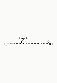 CCCCCCCCCC(CCCCCCCCC=CCCCCCCCC(=O)O)CCN(C)C